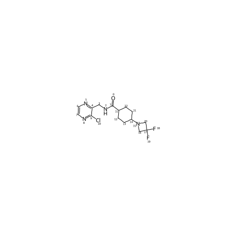 O=C(NCc1nccnc1Cl)C1CCC(N2CC(F)(F)C2)CC1